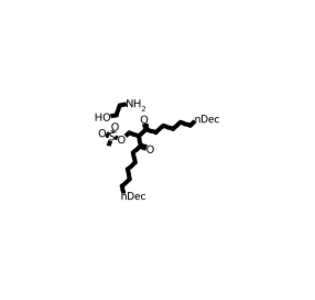 CCCCCCCCCCCCCCCC(=O)C(COS(C)(=O)=O)C(=O)CCCCCCCCCCCCCCC.NCCO